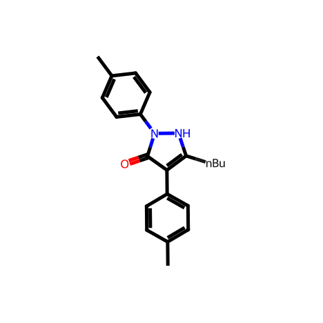 CCCCc1[nH]n(-c2ccc(C)cc2)c(=O)c1-c1ccc(C)cc1